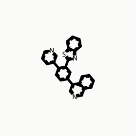 c1cncc(-c2ccc(-c3cncc4ccccc34)cc2-c2nc3ccccc3s2)c1